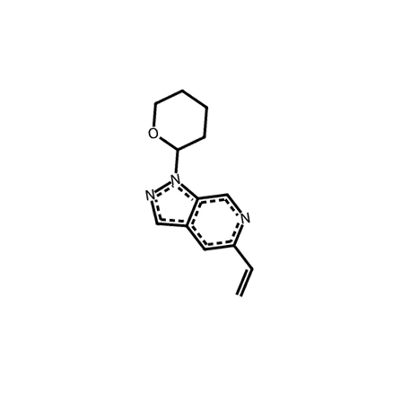 C=Cc1cc2cnn(C3CCCCO3)c2cn1